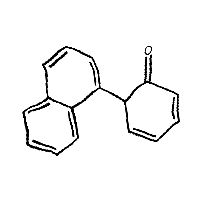 O=C1C=CC=CC1c1cccc2ccccc12